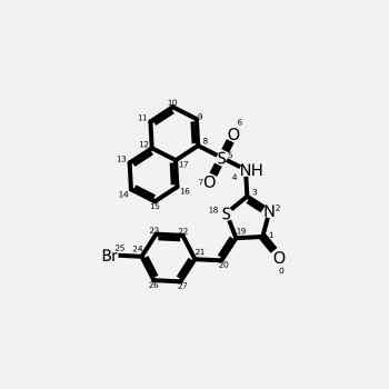 O=C1N=C(NS(=O)(=O)c2cccc3ccccc23)S/C1=C\c1ccc(Br)cc1